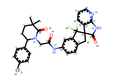 CC1(C)CCC(c2ccc(C(F)(F)F)cc2)N(CC(=O)Nc2ccc3c(c2)C(F)(F)C2(C3)C(=O)Nc3ncccc32)C1=O